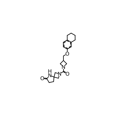 O=C1CCC2(CN(C(=O)N3CC(COc4ccc5c(c4)CCCC5)C3)C2)N1